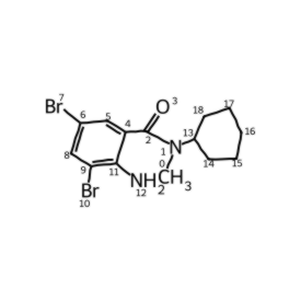 CN(C(=O)c1cc(Br)cc(Br)c1N)C1CCCCC1